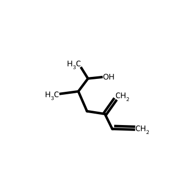 C=CC(=C)CC(C)C(C)O